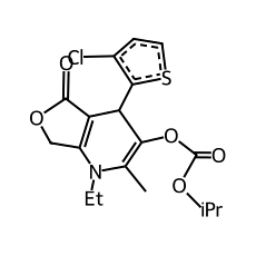 CCN1C(C)=C(OC(=O)OC(C)C)C(c2sccc2Cl)C2=C1COC2=O